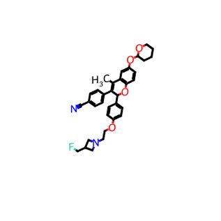 CC1=C(c2ccc(C#N)cc2)C(c2ccc(OCCN3CC(CF)C3)cc2)Oc2ccc(OC3CCCCO3)cc21